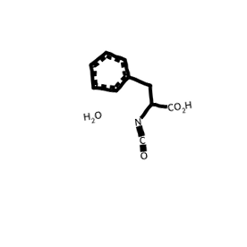 O.O=C=NC(Cc1ccccc1)C(=O)O